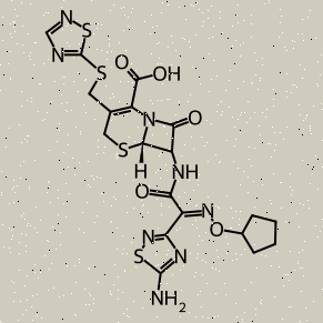 Nc1nc(C(=NOC2CCCC2)C(=O)NC2C(=O)N3C(C(=O)O)=C(CSc4ncns4)CS[C@@H]23)ns1